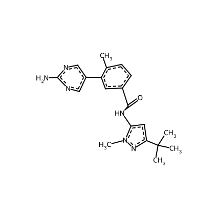 Cc1ccc(C(=O)Nc2cc(C(C)(C)C)nn2C)cc1-c1cnc(N)nc1